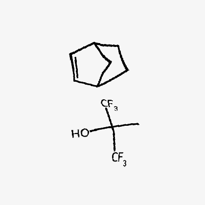 C1=CC2CCC1C2.CC(O)(C(F)(F)F)C(F)(F)F